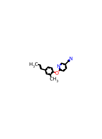 C/C=C/c1ccc(Oc2ccc(C#N)cn2)c(C)c1